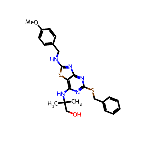 COc1ccc(CNc2nc3nc(SCc4ccccc4)nc(NC(C)(C)CO)c3s2)cc1